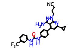 N#CCCCn1nc(N)c2c(-c3ccc(NC(=O)Nc4cccc(C(F)(F)F)c4)cc3)cc(C3CC3)nc21